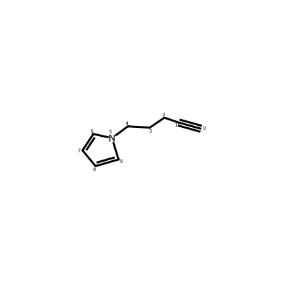 [C]#CCCCn1cccc1